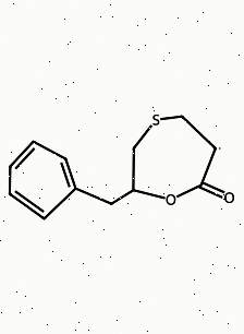 O=C1[CH]CSCC(Cc2ccccc2)O1